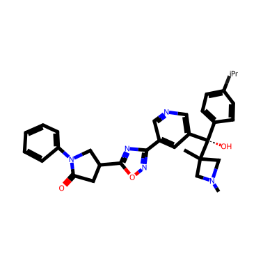 CC(C)c1ccc([C@](O)(c2cncc(-c3noc(C4CC(=O)N(c5ccccc5)C4)n3)c2)C2(C)CN(C)C2)cc1